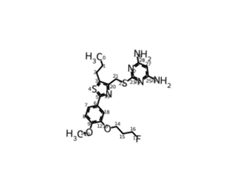 CCCc1sc(-c2ccc(OC)c(OCCCF)c2)nc1CSc1nc(N)cc(N)n1